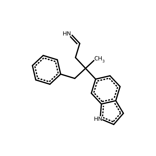 CC(CC=N)(Cc1ccccc1)c1ccc2cc[nH]c2c1